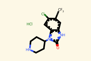 Cl.O=c1[nH]c2cc(C(F)(F)F)c(Cl)cc2n1C1CCNCC1